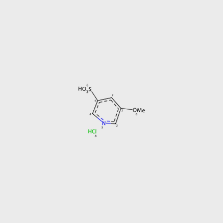 COc1cncc(S(=O)(=O)O)c1.Cl